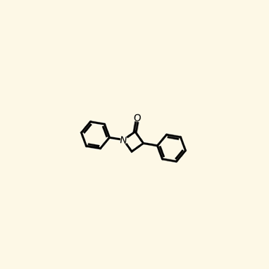 O=C1C(c2ccccc2)CN1c1ccccc1